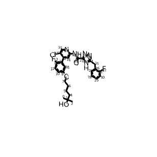 CC(C)(O)CCCCOc1ccc(F)c(-c2cc(NC(=O)c3nnc(Cc4ccccc4F)[nH]3)ncc2Cl)c1